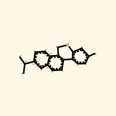 Cc1ccc2c(c1)OCc1c-2ccc2cc(C(C)C)ccc12